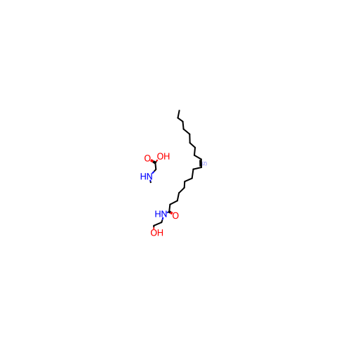 CCCCCCCC/C=C\CCCCCCCC(=O)NCCO.CNCC(=O)O